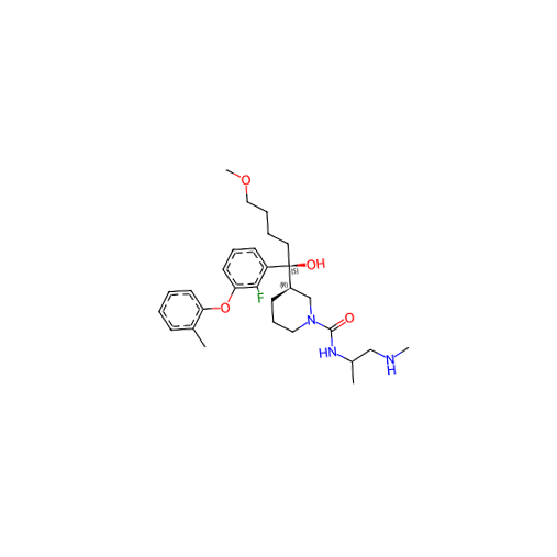 CNCC(C)NC(=O)N1CCC[C@@H]([C@@](O)(CCCCOC)c2cccc(Oc3ccccc3C)c2F)C1